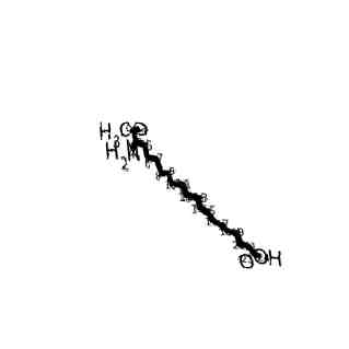 CC(=O)C(N)CCCCCCCCCCCCCCCCCC(=O)O